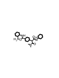 CN(C)C(=O)C(C(=O)Nc1ccccc1)c1ccc(C(=O)Nc2ccccc2N)cc1